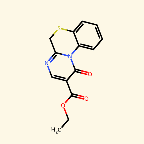 CCOC(=O)c1cnc2n(c1=O)-c1ccccc1SC2